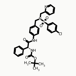 CC(C)(C)OC(=O)N[C@@H](C(=O)Nc1ccc(CN(Cc2ccccn2)S(=O)(=O)c2ccc(Cl)cc2)cc1)c1ccccc1